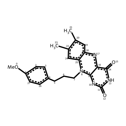 COc1ccc(CCCn2c3nc(=O)[nH]c(=O)c-3nc3cc(C)c(C)cc32)cc1